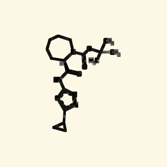 CC(C)(C)OC(=O)N1CCCCC[C@@H]1C(=O)Nc1nnc(C2CC2)o1